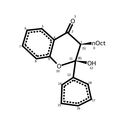 CCCCCCCC[C@@H]1C(=O)c2ccccc2O[C@@]1(O)c1ccccc1